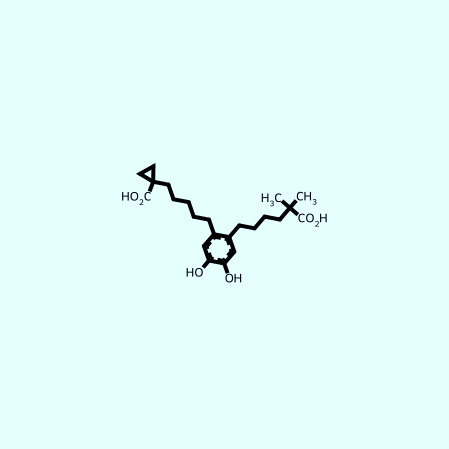 CC(C)(CCCCc1cc(O)c(O)cc1CCCCCC1(C(=O)O)CC1)C(=O)O